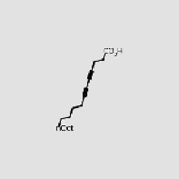 CCCCCCCCCCCCC#CC#CCCC(=O)O